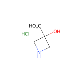 Cl.O=C(O)C1(O)CNC1